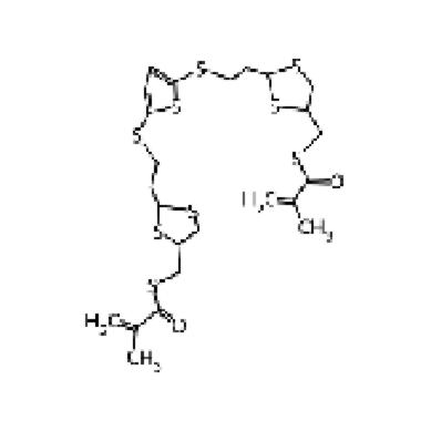 C=C(C)C(=O)SCC1CSC(CCSc2ccc(SCCC3SCC(CSC(=O)C(=C)C)S3)s2)S1